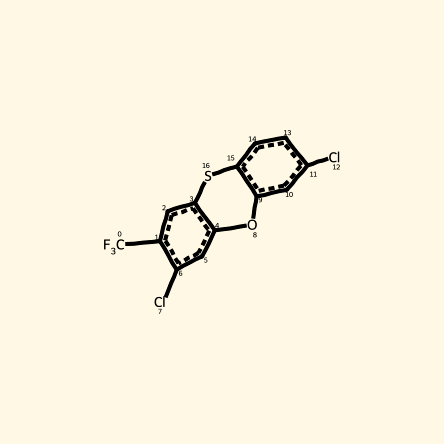 FC(F)(F)c1cc2c(cc1Cl)Oc1cc(Cl)ccc1S2